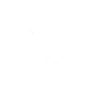 FC(F)(F)c1cccc(OCc2ccccc2CCl)c1